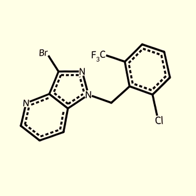 FC(F)(F)c1cccc(Cl)c1Cn1nc(Br)c2ncccc21